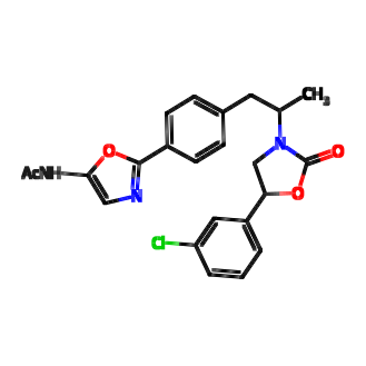 CC(=O)Nc1cnc(-c2ccc(CC(C)N3CC(c4cccc(Cl)c4)OC3=O)cc2)o1